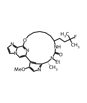 CCN1C(=O)NC(CCC(C)(C)F)CCCCCOc2nc(cn3ccnc23)-c2cc(ncc2OC)[C@H]1C